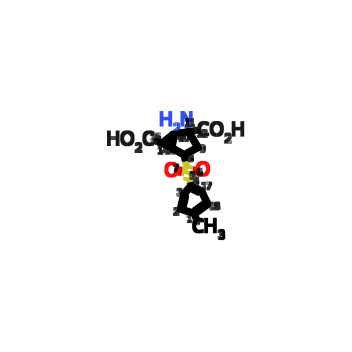 Cc1ccc(S(=O)(=O)C2CC(N)(C(=O)O)C3C(C(=O)O)C32)cc1